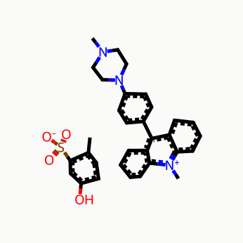 CN1CCN(c2ccc(-c3c4ccccc4[n+](C)c4ccccc34)cc2)CC1.Cc1ccc(O)cc1S(=O)(=O)[O-]